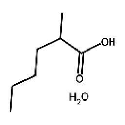 CCCCC(C)C(=O)O.O